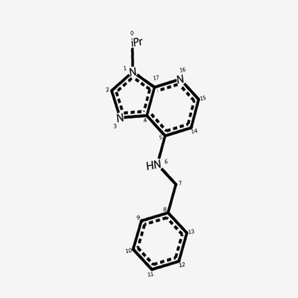 CC(C)n1cnc2c(NCc3ccccc3)ccnc21